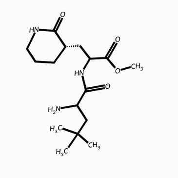 COC(=O)C(C[C@@H]1CCCNC1=O)NC(=O)C(N)CC(C)(C)C